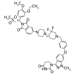 CCOc1cc([C@@H](CS(C)(=O)=O)N2C(=O)c3ccc(N4CCN([C@H]5CCN(Cc6ccc(Oc7ccc8c(N9CCC(=O)NC9=O)nn(C)c8c7)cc6)CC5(F)F)CC4)cc3C2=O)ccc1OC